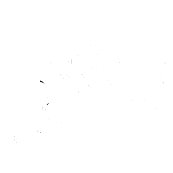 CC(C)OC(=O)[C@H](C)NP(=O)(OCC1S[C@@H](n2ccc(N)nc2=O)[C@@H](F)[C@@H]1O)Oc1ccc(F)c2c1CCO2